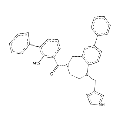 O=C(c1cccc(-c2ccccc2)c1O)N1CCN(Cc2c[nH]cn2)c2ccc(-c3ccccc3)cc2C1